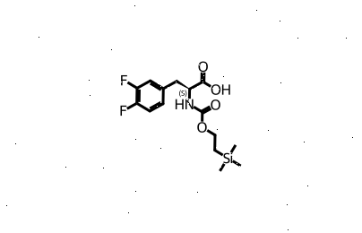 C[Si](C)(C)CCOC(=O)N[C@@H](Cc1ccc(F)c(F)c1)C(=O)O